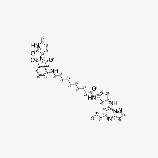 C=C1CCC(N2C(=O)c3cccc(NCCCCCCCCCC(=O)N[C@@H]4CC[C@@H](Nc5cc(CCC)nc6ccnn56)C4)c3C2=O)C(=O)N1